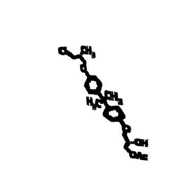 CC(=O)OC[C@@H](O)COc1ccc(C(C)(C)c2ccc(OC[C@@H](C)CCl)cc2)cc1